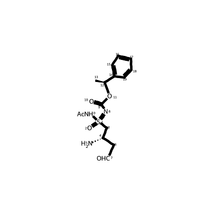 CC(=O)NS(=O)(C[C@@H](N)CC=O)=NC(=O)O[C@@H](C)c1ccccc1